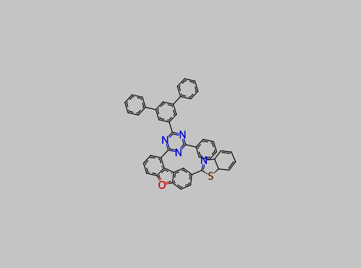 C1=CC2N=C(c3ccc4oc5cccc(-c6nc(-c7ccccc7)nc(-c7cc(-c8ccccc8)cc(-c8ccccc8)c7)n6)c5c4c3)SC2C=C1